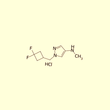 CNc1cnn(CC2CC(F)(F)C2)c1.Cl